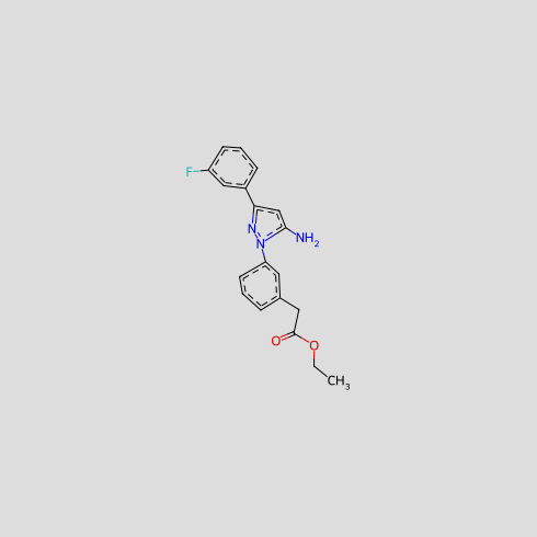 CCOC(=O)Cc1cccc(-n2nc(-c3cccc(F)c3)cc2N)c1